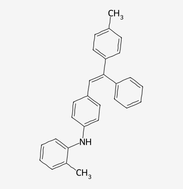 Cc1ccc(C(=Cc2ccc(Nc3ccccc3C)cc2)c2ccccc2)cc1